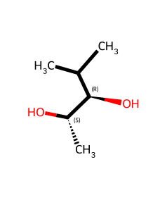 CC(C)[C@@H](O)[C@H](C)O